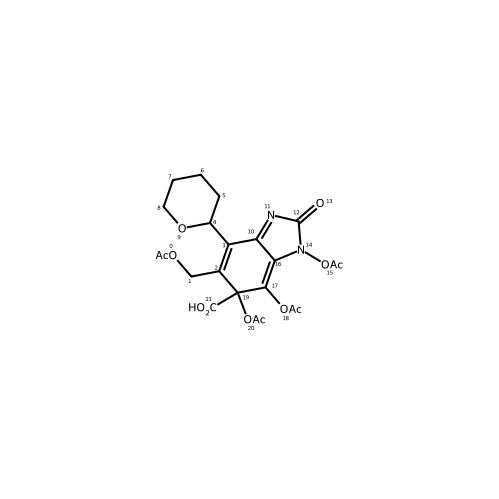 CC(=O)OCC1=C(C2CCCCO2)C2=NC(=O)N(OC(C)=O)C2=C(OC(C)=O)C1(OC(C)=O)C(=O)O